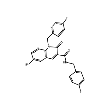 CC(C)c1cnc2c(c1)cc(C(=O)NCc1ccc(F)cc1)c(=O)n2Cc1ccc(F)cn1